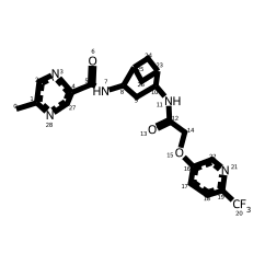 Cc1cnc(C(=O)NC2CC(NC(=O)COc3ccc(C(F)(F)F)nc3)C3CC2C3)cn1